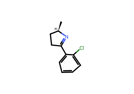 C[C@@H]1CCC(c2ccccc2Cl)=N1